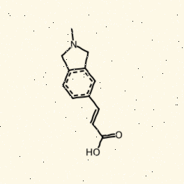 CN1Cc2ccc(C=CC(=O)O)cc2C1